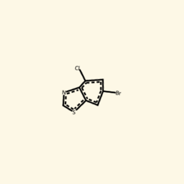 Clc1cc(Br)cc2scnc12